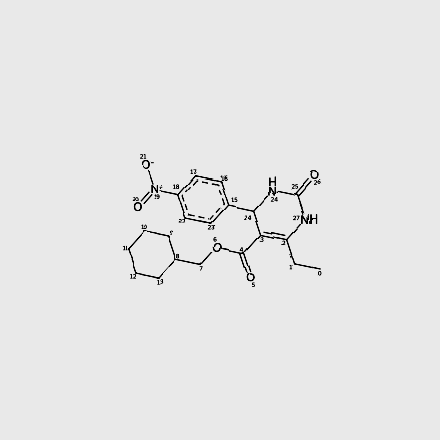 CCC1=C(C(=O)OCC2CCCCC2)C(c2ccc([N+](=O)[O-])cc2)NC(=O)N1